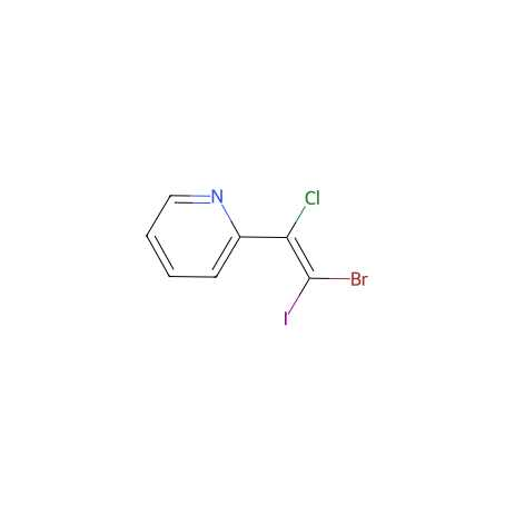 ClC(=C(Br)I)c1ccccn1